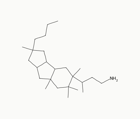 CCCCC1(C)CC2CC3(C)CC(C)(C)C(C)(C(C)CCN)CC3C2C1